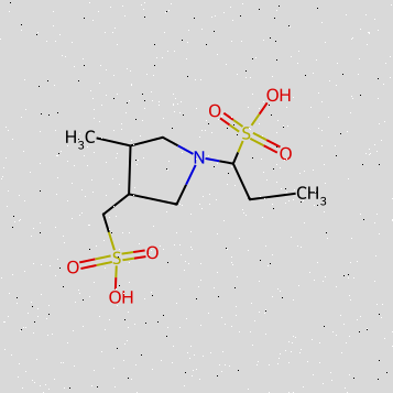 CCC(N1CC(C)C(CS(=O)(=O)O)C1)S(=O)(=O)O